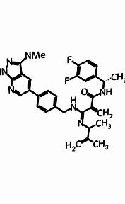 C=C(C(=O)N[C@@H](C)c1ccc(F)c(F)c1)/C(=N\C(C)C(=C)C)NCc1ccc(-c2cnc3[nH]nc(NC)c3c2)cc1